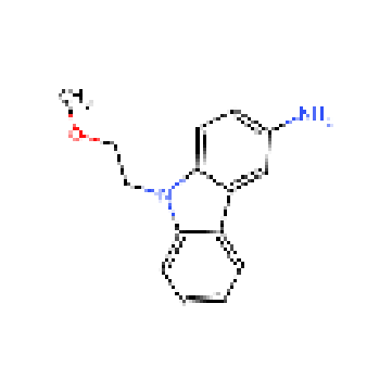 COCCn1c2ccccc2c2cc(N)ccc21